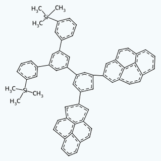 C[Si](C)(C)c1cccc(-c2cc(-c3cc(-c4cc5ccc6cccc7ccc(c4)c5c67)cc(-c4cc5ccc6cccc7ccc(c4)c5c67)c3)cc(-c3cccc([Si](C)(C)C)c3)c2)c1